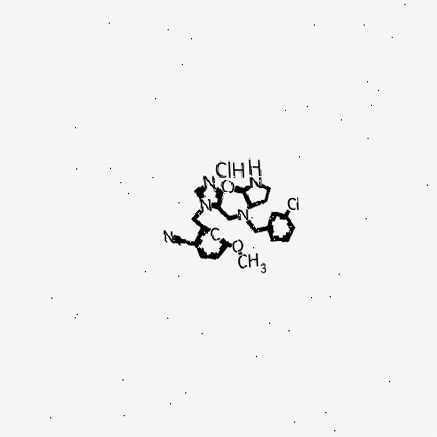 COc1ccc(C#N)c(Cn2cncc2CN(Cc2cccc(Cl)c2)C2CCNC2=O)c1.Cl